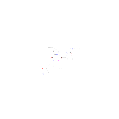 CC(C)(C)NC(=O)NC(C(=O)N1C[C@H]2[C@@H]([C@H]1C(=O)NC(C=O)CC1CCNC1=O)C2(C)C)C(C)(C)C